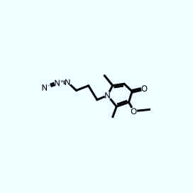 COc1c(C)n(CCCN=[N+]=[N-])c(C)cc1=O